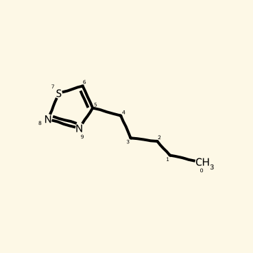 CCCCCc1csnn1